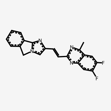 Cc1nc(C=Cc2cn3c(n2)-c2ccccc2C3)nc2cc(F)c(F)cc12